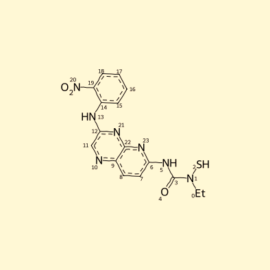 CCN(S)C(=O)Nc1ccc2ncc(Nc3ccccc3[N+](=O)[O-])nc2n1